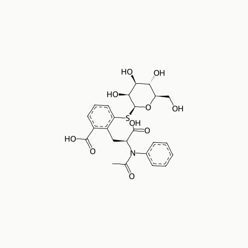 CC(=O)N(c1ccccc1)[C@@H](Cc1c(S[C@@H]2O[C@H](CO)[C@@H](O)[C@H](O)[C@@H]2O)cccc1C(=O)O)C(=O)O